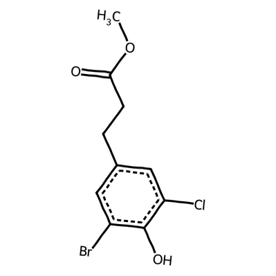 COC(=O)CCc1cc(Cl)c(O)c(Br)c1